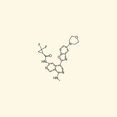 CNc1ncc(-c2nc3cc(N4CCOCC4)ccc3o2)c2cc(NC(=O)[C@H]3CC3(F)F)ncc12